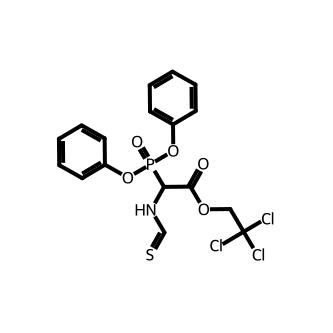 O=C(OCC(Cl)(Cl)Cl)C(NC=S)P(=O)(Oc1ccccc1)Oc1ccccc1